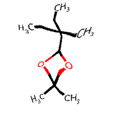 CC1(C)OC(C(C)(C)C)O1